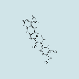 CC(C)[C@H]1c2nc3cc(CO)c(S(C)(=O)=O)cc3n2CCN1c1ncc(CO)c(C(F)(F)F)n1